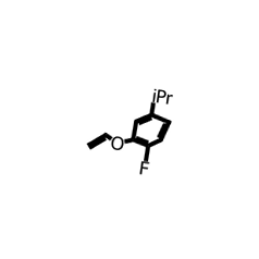 C=COc1cc(C(C)C)ccc1F